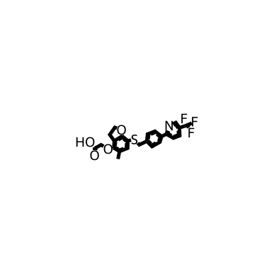 Cc1cc(SCc2ccc(-c3ccc(C(F)(F)F)cn3)cc2)c2c(c1OCC(=O)O)CCO2